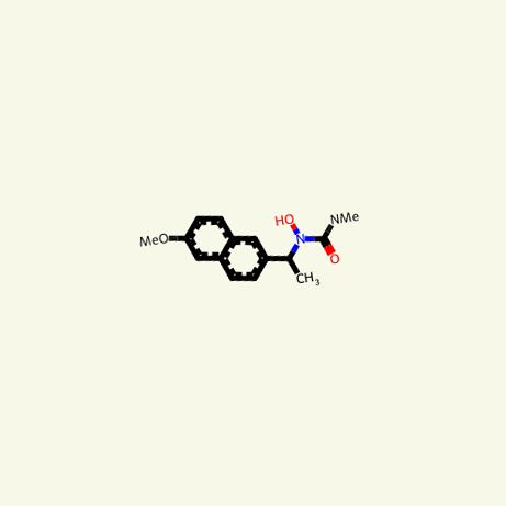 CNC(=O)N(O)C(C)c1ccc2cc(OC)ccc2c1